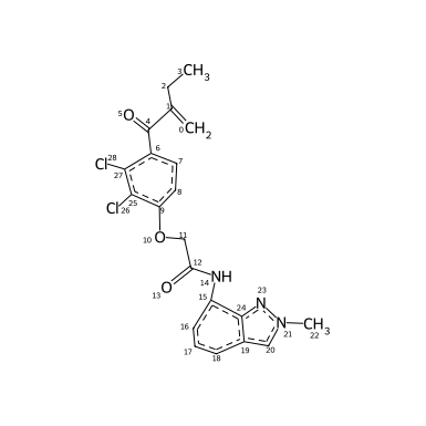 C=C(CC)C(=O)c1ccc(OCC(=O)Nc2cccc3cn(C)nc23)c(Cl)c1Cl